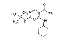 CC(C)(C)Nc1ncc(C(N)=O)c(NC2CCCCC2)n1